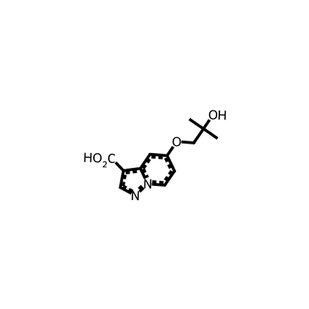 CC(C)(O)COc1ccn2ncc(C(=O)O)c2c1